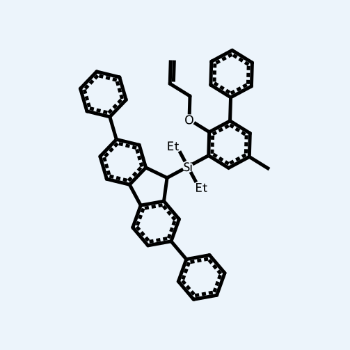 C=CCOc1c(-c2ccccc2)cc(C)cc1[Si](CC)(CC)C1c2cc(-c3ccccc3)ccc2-c2ccc(-c3ccccc3)cc21